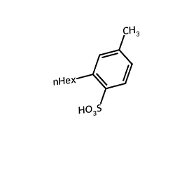 CCCCCCc1cc(C)ccc1S(=O)(=O)O